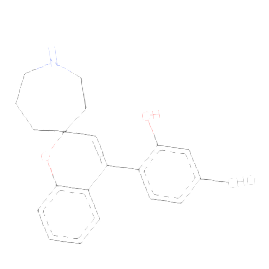 O=Cc1ccc(C2=CC3(CCCNCC3)Oc3ccccc32)c(O)c1